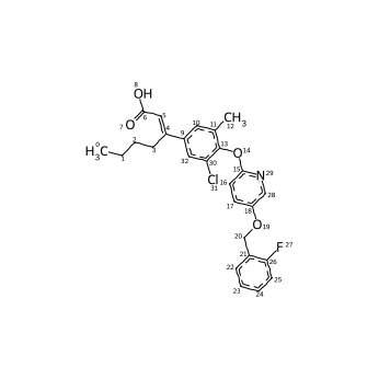 CCCC/C(=C\C(=O)O)c1cc(C)c(Oc2ccc(OCc3ccccc3F)cn2)c(Cl)c1